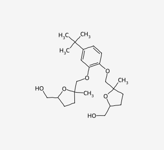 CC1(COc2ccc(C(C)(C)C)cc2OCC2(C)CCC(CO)O2)CCC(CO)O1